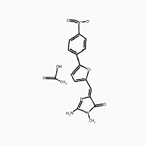 CC(=O)O.CN1C(=O)C(=Cc2ccc(-c3ccc([N+](=O)[O-])cc3)o2)N=C1N